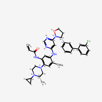 C=CC(=O)Nc1cc(Nc2cc(N3OCC[C@@H]3c3cccc(-c4cccc(F)c4)c3)ncn2)c(OC)cc1N1CCN(C2CC2)[C@@H](C)C1